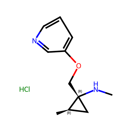 CN[C@]1(COc2cccnc2)C[C@H]1C.Cl